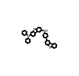 c1ccc(N(c2ccccc2)c2ccc3c(c2)sc2ccc(Nc4ccc(-c5ccc6sc7ccccc7c6c5)cc4)cc23)cc1